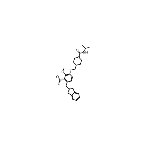 COc1c(OCC2CCN(C(=O)NC(C)C)CC2)ccc(CN2Cc3ccccc3C2)c1[N+](=O)[O-]